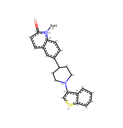 O=c1ccc2cc(C3CCN(c4csc5ccccc45)CC3)ccc2[n]1[RaH]